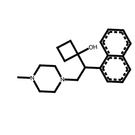 CN1CCN(CC(c2cccc3ccccc23)C2(O)CCC2)CC1